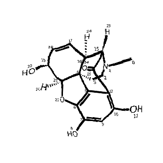 CN1CC[C@@]23c4c5c(O)cc(O)c4C(=O)[C@@H]1[C@@H]2C=C[C@H](O)[C@@H]3O5